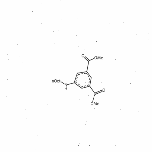 CCCCCCCCNc1cc(C(=O)OC)cc(C(=O)OC)c1